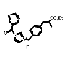 CCOC(=O)C(C)=Cc1ccc(C[n+]2ccn(C(=O)c3ccccc3)c2)cc1.[I-]